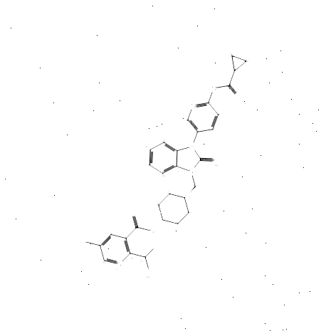 O=C(N[C@H]1CC[C@H](Cn2c(=O)n(-c3ccc(NC(=O)C4CC4)nc3)c3ccccc32)CC1)c1cc(Cl)cnc1C(F)F